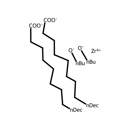 CCCCCCCCCCCCCCCCCC(=O)[O-].CCCCCCCCCCCCCCCCCC(=O)[O-].CCCC[O-].CCCC[O-].[Zr+4]